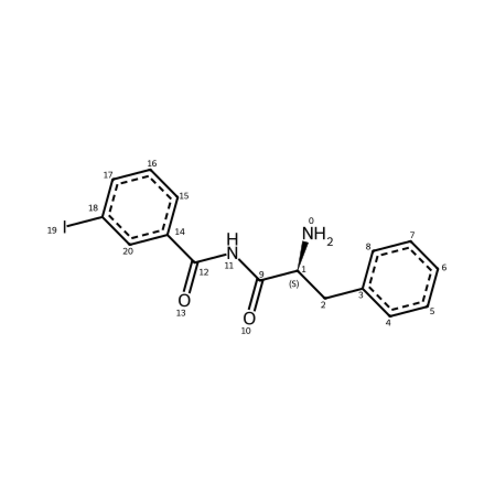 N[C@@H](Cc1ccccc1)C(=O)NC(=O)c1cccc(I)c1